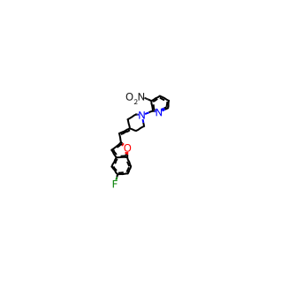 O=[N+]([O-])c1cccnc1N1CCC(=Cc2cc3cc(F)ccc3o2)CC1